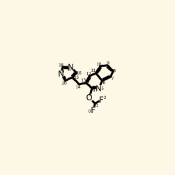 FC(F)Oc1nc2ccccc2cc1Cc1cncnc1